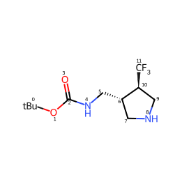 CC(C)(C)OC(=O)NC[C@H]1CNC[C@@H]1C(F)(F)F